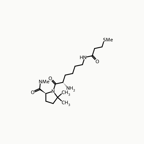 CNC(=O)[C@@H]1CCC(C)(C)N1C(=O)[C@@H](N)CCCCNC(=O)CCSC